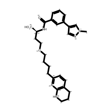 Cn1cc(-c2cccc(C(=O)N[C@@H](CCOCCCCc3ccc4c(n3)NCCC4)C(=O)O)c2)cn1